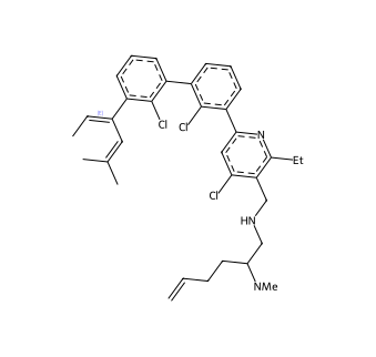 C=CCCC(CNCc1c(Cl)cc(-c2cccc(-c3cccc(/C(C=C(C)C)=C/C)c3Cl)c2Cl)nc1CC)NC